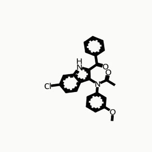 COc1cccc(N(C(C)=O)c2c(C(=O)c3ccccc3)[nH]c3cc(Cl)ccc23)c1